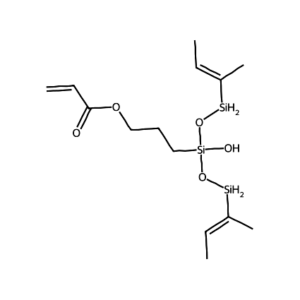 C=CC(=O)OCCC[Si](O)(O[SiH2]C(C)=CC)O[SiH2]C(C)=CC